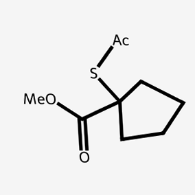 COC(=O)C1(SC(C)=O)CCCC1